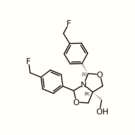 OC[C@]12COC(c3ccc(CF)cc3)N1[C@H](c1ccc(CF)cc1)OC2